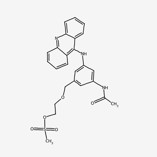 CC(=O)Nc1cc(COCCOS(C)(=O)=O)cc(Nc2c3ccccc3nc3ccccc23)c1